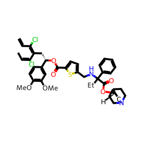 C=C/C(Cl)=C(C[C@H](OC(=O)c1ccc(CNC(CC)(C(=O)O[C@H]2CN3CCC2CC3)c2ccccc2)s1)c1ccc(OC)c(OC)c1)\C(Cl)=C/C